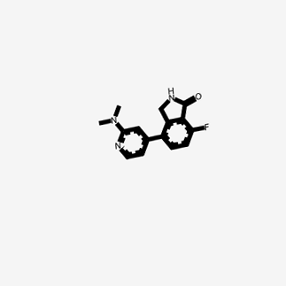 CN(C)c1cc(-c2ccc(F)c3c2CNC3=O)ccn1